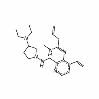 C=CC/C(=N/c1c(C=C)ccnc1CNN1CCC(N(CC)CC)C1)NC